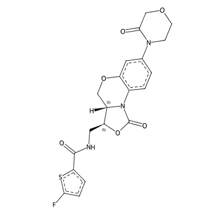 O=C(NC[C@@H]1OC(=O)N2c3ccc(N4CCOCC4=O)cc3OC[C@@H]12)c1ccc(F)s1